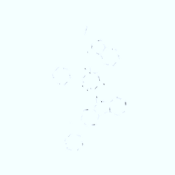 C1=Cc2oc3c(-c4nc(-c5ccccc5)nc(-n5c6ccccc6c6cc7c(cc65)C5(CCCCC5)c5ccccc5-7)n4)cccc3c2CC1